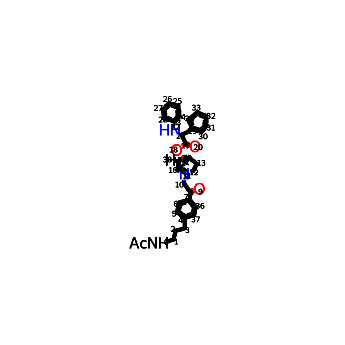 CC(=O)NCCCc1ccc(C(=O)C[N+]23CCC(CC2)[C@@H](OC(=O)[C@H](Nc2ccccc2)c2ccccc2)C3)cc1